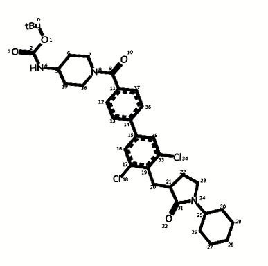 CC(C)(C)OC(=O)NC1CCN(C(=O)c2ccc(-c3cc(Cl)c(CC4CCN(C5CCCCC5)C4=O)c(Cl)c3)cc2)CC1